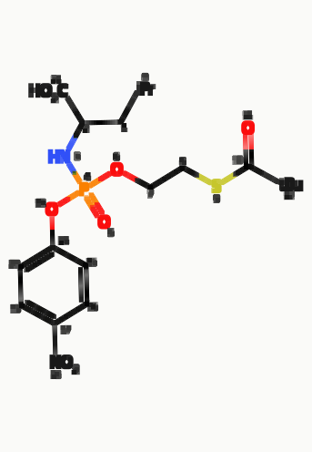 CC(C)CC(NP(=O)(OCCSC(=O)C(C)(C)C)Oc1ccc([N+](=O)[O-])cc1)C(=O)O